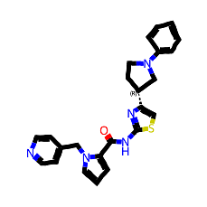 O=C(Nc1nc([C@@H]2CCN(c3ccccc3)C2)cs1)c1cccn1Cc1ccncc1